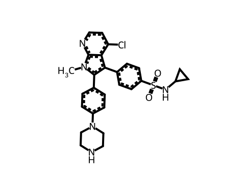 Cn1c(-c2ccc(N3CCNCC3)cc2)c(-c2ccc(S(=O)(=O)NC3CC3)cc2)c2c(Cl)ccnc21